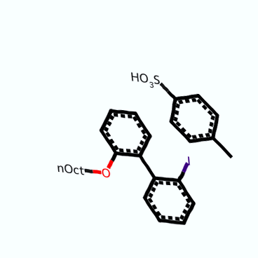 CCCCCCCCOc1ccccc1-c1ccccc1I.Cc1ccc(S(=O)(=O)O)cc1